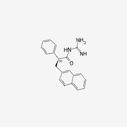 N=C(N)NC(=O)[C@@H](Cc1ccc2ccccc2c1)c1ccccc1